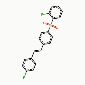 O=S(=O)(c1ccc(C=Cc2ccc(F)cc2)cc1)c1ccccc1F